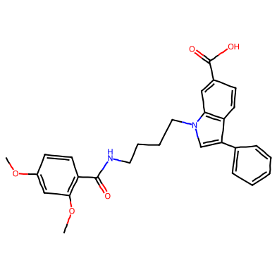 COc1ccc(C(=O)NCCCCn2cc(-c3ccccc3)c3ccc(C(=O)O)cc32)c(OC)c1